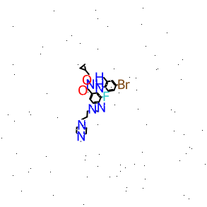 Cc1cc(Br)ccc1Nc1c(C(=O)NOCC2CC2)cc2c(ncn2CCCN2CCN(C)CC2)c1F